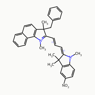 CN1/C(=C/C=C/C2=[N+](C)c3c(ccc4ccccc34)C2(C)Cc2ccccc2)C(C)(C)c2cc([N+](=O)[O-])ccc21